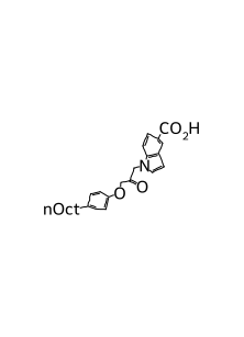 CCCCCCCCc1ccc(OCC(=O)Cn2ccc3cc(C(=O)O)ccc32)cc1